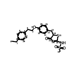 CCc1ccc(CCOc2ccc(CC3SC(NS(C)(=O)=O)=NC3=O)cc2)nc1